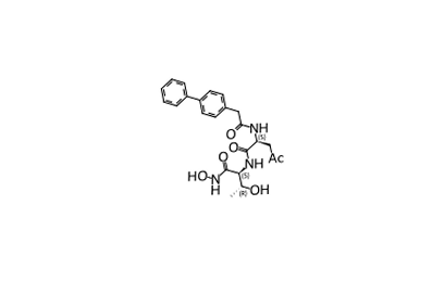 CC(=O)C[C@H](NC(=O)Cc1ccc(-c2ccccc2)cc1)C(=O)N[C@H](C(=O)NO)[C@@H](C)O